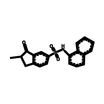 CC1Cc2ccc(S(=O)(=O)Nc3cccc4ccccc34)cc2C1=O